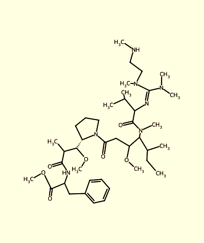 CCC(C)C(C(CC(=O)N1CCC[C@H]1C(OC)C(C)C(=O)NC(Cc1ccccc1)C(=O)OC)OC)N(C)C(=O)C(/N=C(/N(C)C)N(C)CCNC)C(C)C